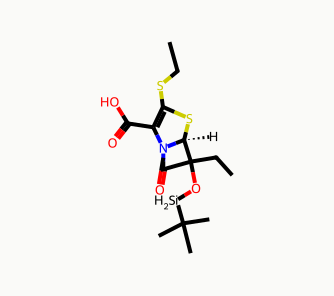 CCSC1=C(C(=O)O)N2C(=O)C(CC)(O[SiH2]C(C)(C)C)[C@@H]2S1